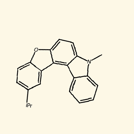 CC(C)c1ccc2oc3ccc4c(c5ccccc5n4C)c3c2c1